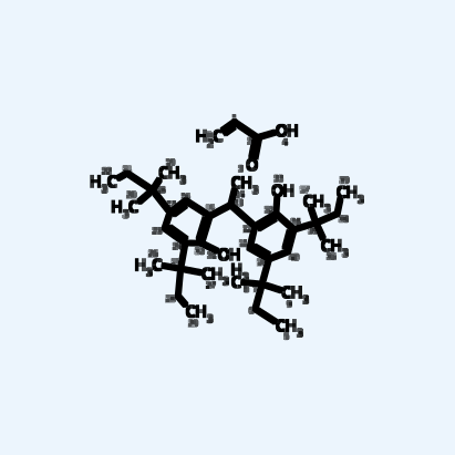 C=CC(=O)O.CCC(C)(C)c1cc(C(C)c2cc(C(C)(C)CC)cc(C(C)(C)CC)c2O)c(O)c(C(C)(C)CC)c1